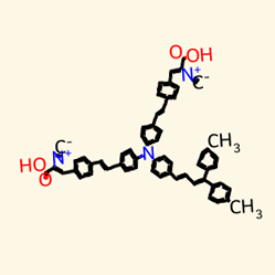 [C-]#[N+]/C(=C\c1ccc(/C=C/c2ccc(N(c3ccc(/C=C/C=C(c4ccc(C)cc4)c4ccc(C)cc4)cc3)c3ccc(/C=C/c4ccc(/C=C(\[N+]#[C-])C(=O)O)cc4)cc3)cc2)cc1)C(=O)O